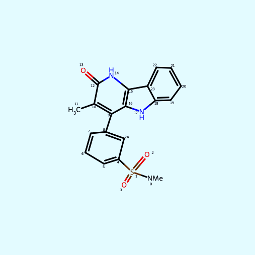 CNS(=O)(=O)c1cccc(-c2c(C)c(=O)[nH]c3c2[nH]c2ccccc23)c1